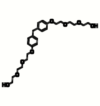 OCCOCCOCCOc1ccc(Cc2ccc(OCCOCCOCCO)cc2)cc1